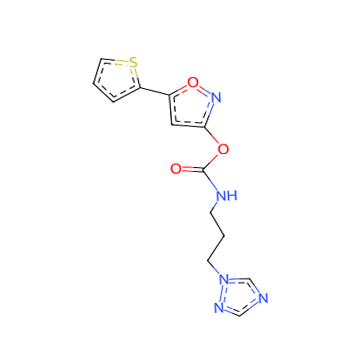 O=C(NCCCn1cncn1)Oc1cc(-c2cccs2)on1